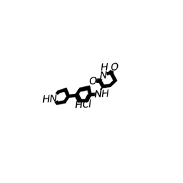 Cl.O=C1CC[C@@H](Nc2ccc(C3CCNCC3)cc2)C(=O)N1